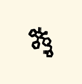 O=C1Nc2ccccc2C(c2ccccc2)N1C1CCN(Cc2ccc[nH]2)CC1